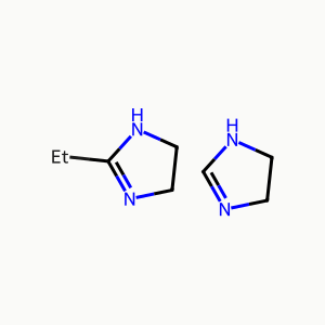 C1=NCCN1.CCC1=NCCN1